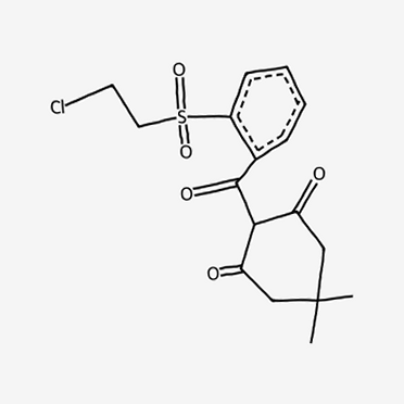 CC1(C)CC(=O)C(C(=O)c2ccccc2S(=O)(=O)CCCl)C(=O)C1